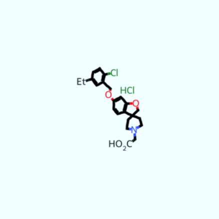 CCc1ccc(Cl)c(COc2ccc3c(c2)OCC32CCN(CC(=O)O)CC2)c1.Cl